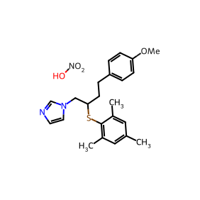 COc1ccc(CCC(Cn2ccnc2)Sc2c(C)cc(C)cc2C)cc1.O=[N+]([O-])O